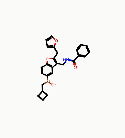 O=C(NCc1c(Cc2ccco2)oc2ccc([S+]([O-])CC3CCC3)cc12)c1ccccc1